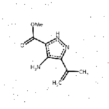 C=C(C)c1n[nH]c(C(=O)OC)c1N